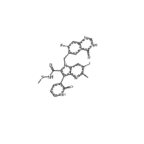 CSNC(=O)c1c(-c2ccc[nH]c2=O)c2nc(C)c(F)cc2n1Cc1cc2c(=O)[nH]cnc2cc1F